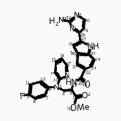 COC(=O)C(CN(c1ccc(F)cc1)c1ccccn1)NC(=O)c1ccc2[nH]c(-c3ccnc(N)n3)cc2c1